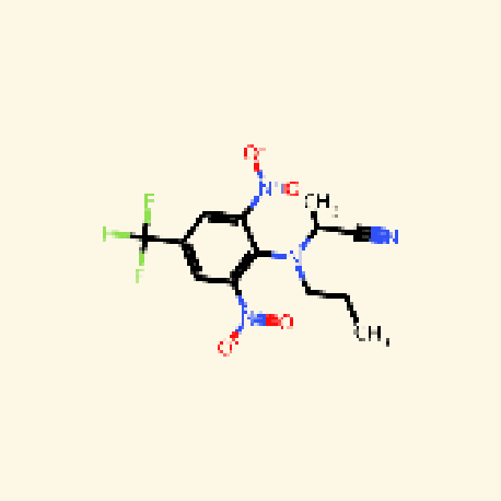 CCCN(c1c([N+](=O)[O-])cc(C(F)(F)F)cc1[N+](=O)[O-])C(C)C#N